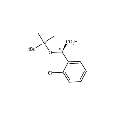 CC(C)(C)[Si](C)(C)O[C@@H](C(=O)O)c1ccccc1Cl